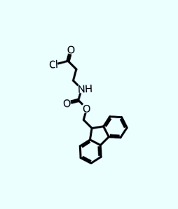 O=C(Cl)CCNC(=O)OCC1c2ccccc2-c2ccccc21